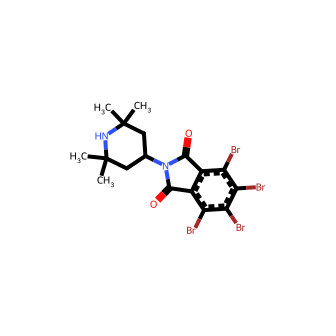 CC1(C)CC(N2C(=O)c3c(Br)c(Br)c(Br)c(Br)c3C2=O)CC(C)(C)N1